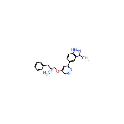 Cc1n[nH]c2ccc(-c3cc(OC[C@H](N)Cc4ccccc4)cnn3)cc12